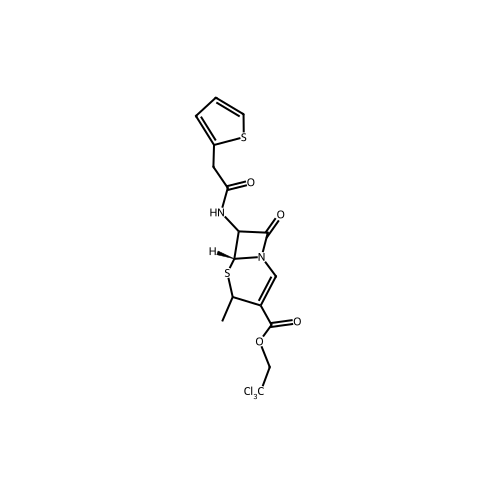 CC1S[C@@H]2C(NC(=O)Cc3cccs3)C(=O)N2C=C1C(=O)OCC(Cl)(Cl)Cl